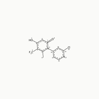 Cc1c(C(F)(F)F)c(O)cc(=O)n1-c1ccnc(Cl)c1